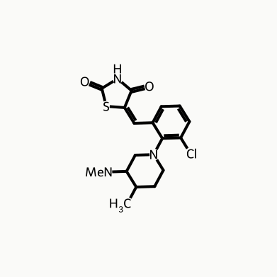 CNC1CN(c2c(Cl)cccc2C=C2SC(=O)NC2=O)CCC1C